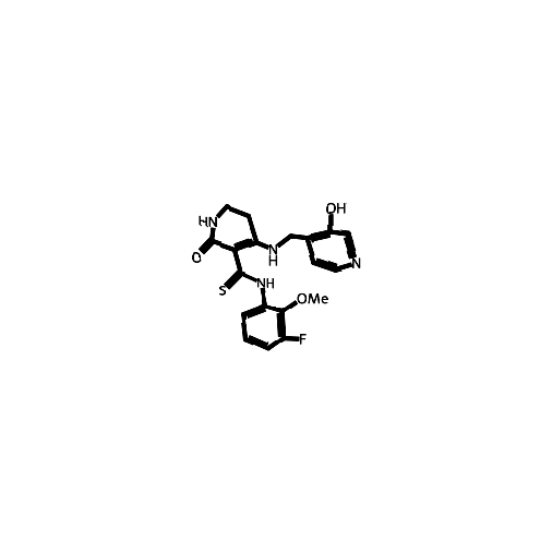 COc1c(F)cccc1NC(=S)C1=C(NCc2ccncc2O)CCNC1=O